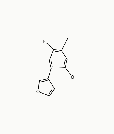 CCc1cc(O)c(-c2ccoc2)cc1F